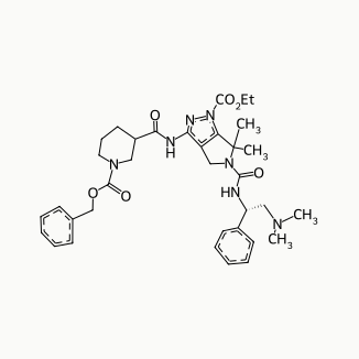 CCOC(=O)n1nc(NC(=O)C2CCCN(C(=O)OCc3ccccc3)C2)c2c1C(C)(C)N(C(=O)N[C@H](CN(C)C)c1ccccc1)C2